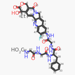 CC[C@@]1(O)C(=O)OCc2c1cc1n(c2=O)Cc2cc3cc(NC(=O)CNC(=O)C(Cc4ccccc4)NC(=O)CNC(=O)CNC(=O)O)c(F)cc3nc2-1